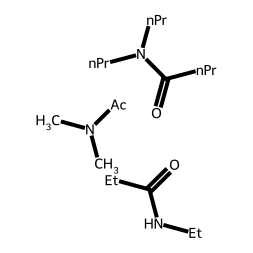 CC(=O)N(C)C.CCCC(=O)N(CCC)CCC.CCNC(=O)CC